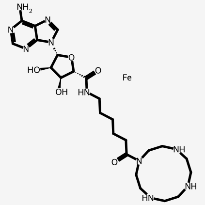 Nc1ncnc2c1ncn2[C@@H]1O[C@H](C(=O)NCCCCCC(=O)N2CCNCCNCCNCC2)[C@@H](O)[C@H]1O.[Fe]